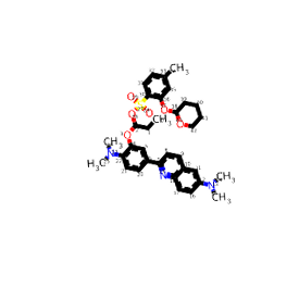 CCC(Oc1cc(-c2ccc3cc(N(C)C)ccc3n2)ccc1N(C)C)OS(=O)(=O)c1ccc(C)cc1OC1CCCCO1